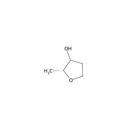 C[C@H]1OCCC1O